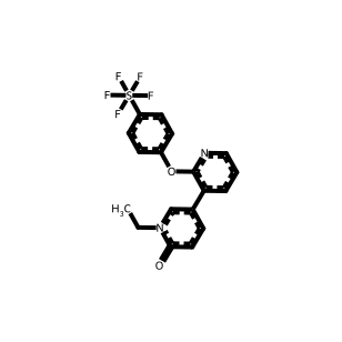 CCn1cc(-c2cccnc2Oc2ccc(S(F)(F)(F)(F)F)cc2)ccc1=O